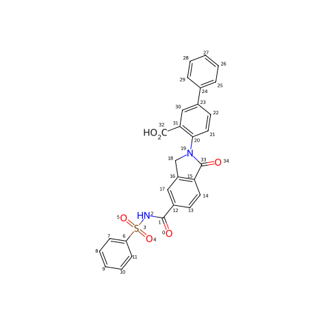 O=C(NS(=O)(=O)c1ccccc1)c1ccc2c(c1)CN(c1ccc(-c3ccccc3)cc1C(=O)O)C2=O